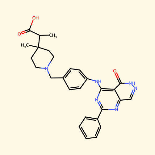 CC(C(=O)O)C1(C)CCN(Cc2ccc(Nc3nc(-c4ccccc4)nc4cn[nH]c(=O)c34)cc2)CC1